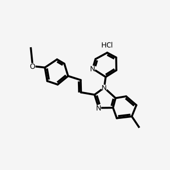 COc1ccc(C=Cc2nc3cc(C)ccc3n2-c2ccccn2)cc1.Cl